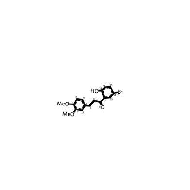 COc1ccc(/C=C/C(=O)c2cc(Br)ccc2O)cc1OC